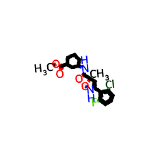 COC(=O)C1CCCC(NC(=O)C2(C)C=C(c3c(F)cccc3Cl)NO2)C1